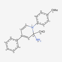 COc1ccc(N2C=CC(c3ccccc3)=CC2(N)C=O)cc1